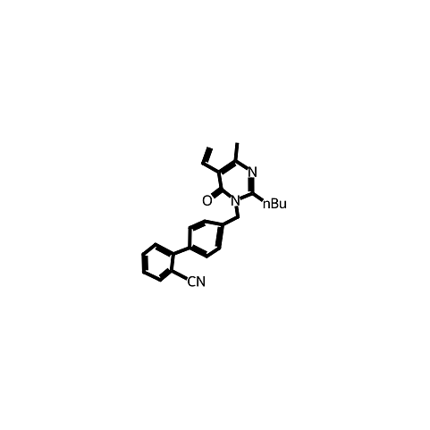 C=Cc1c(C)nc(CCCC)n(Cc2ccc(-c3ccccc3C#N)cc2)c1=O